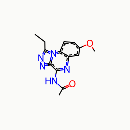 CCc1nnc2c(NC(C)=O)nc3cc(OC)ccc3n12